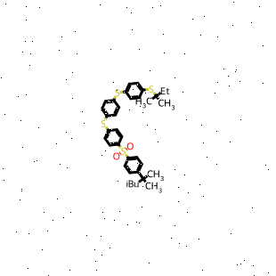 CCC(C)C(C)(C)c1ccc(S(=O)(=O)c2ccc(Sc3ccc(Sc4ccc(SC(C)(C)CC)cc4)cc3)cc2)cc1